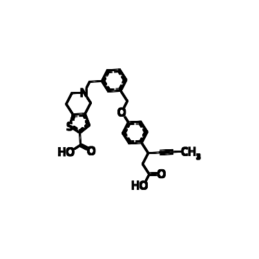 CC#CC(CC(=O)O)c1ccc(OCc2cccc(CN3CCc4sc(C(=O)O)cc4C3)c2)cc1